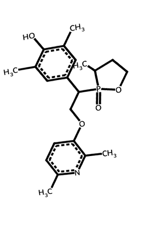 Cc1ccc(OCC(c2cc(C)c(O)c(C)c2)P2(=O)OCCC2C)c(C)n1